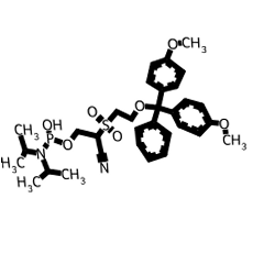 COc1ccc(C(OCCS(=O)(=O)C(C#N)COP(O)N(C(C)C)C(C)C)(c2ccccc2)c2ccc(OC)cc2)cc1